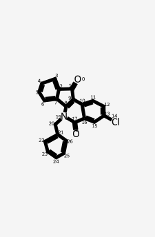 O=C1c2ccccc2-c2c1c1ccc(Cl)cc1c(=O)n2Cc1ccccc1